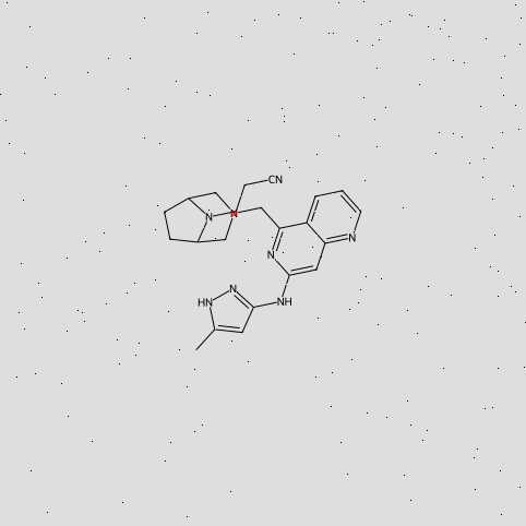 Cc1cc(Nc2cc3ncccc3c(CN3CC4CCC(C3)N4CCC#N)n2)n[nH]1